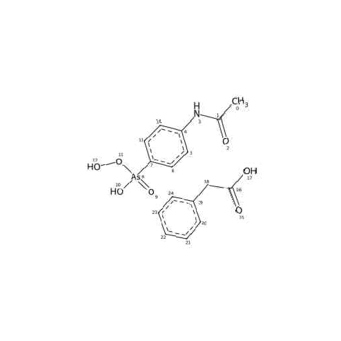 CC(=O)Nc1ccc([As](=O)(O)OO)cc1.O=C(O)Cc1ccccc1